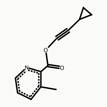 Cc1cccnc1C(=O)OC#CC1CC1